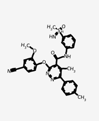 COc1cc(C#N)ccc1Oc1nnc(-c2ccc(C)cc2)c(C)c1C(=O)Nc1cccc([S@](C)(=N)=O)c1